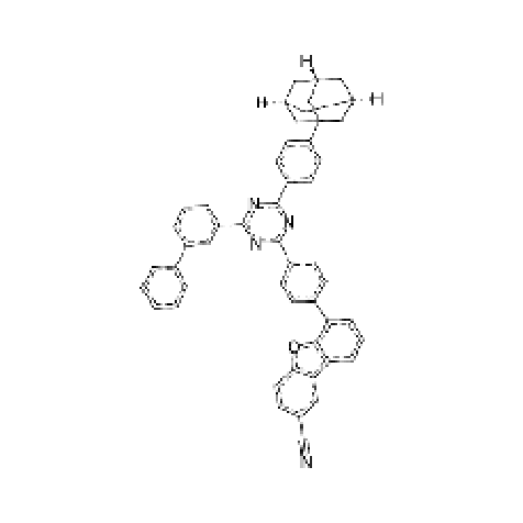 N#Cc1ccc2oc3c(-c4ccc(-c5nc(-c6ccc(C78C[C@H]9C[C@@H](C7)C[C@@H](C8)C9)cc6)nc(-c6cccc(-c7ccccc7)c6)n5)cc4)cccc3c2c1